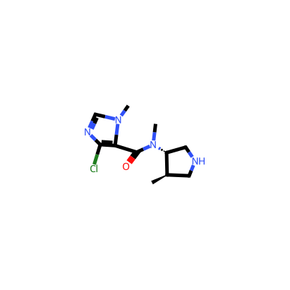 C[C@@H]1CNC[C@H]1N(C)C(=O)c1c(Cl)ncn1C